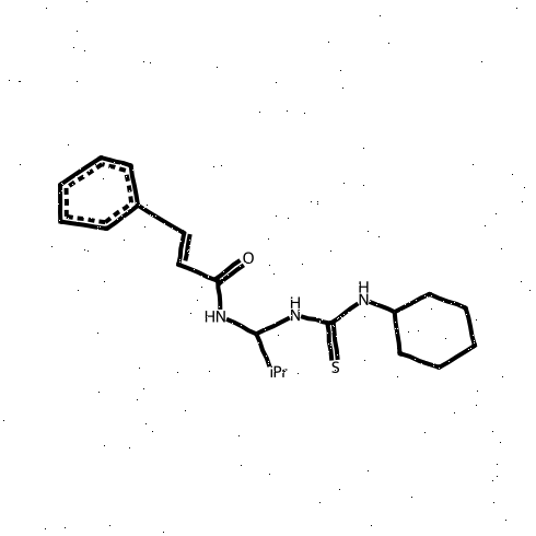 CC(C)C(NC(=O)/C=C/c1ccccc1)NC(=S)NC1CCCCC1